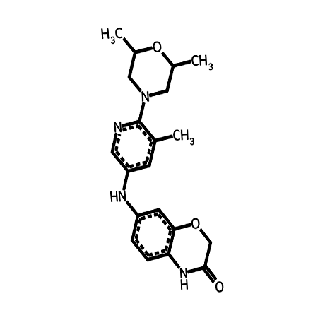 Cc1cc(Nc2ccc3c(c2)OCC(=O)N3)cnc1N1CC(C)OC(C)C1